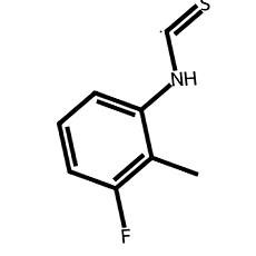 Cc1c(F)cccc1N[C]=S